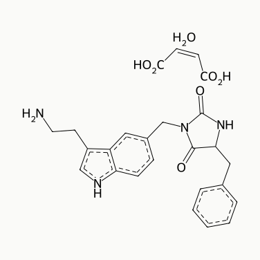 NCCc1c[nH]c2ccc(CN3C(=O)NC(Cc4ccccc4)C3=O)cc12.O.O=C(O)/C=C\C(=O)O